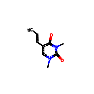 Cn1cc(/C=C/C#N)c(=O)n(C)c1=O